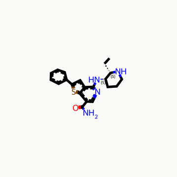 CC[C@@H]1NCCC[C@@H]1Nc1ncc(C(N)=O)c2sc(-c3ccccc3)cc12